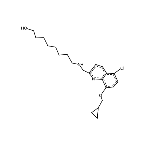 OCCCCCCCCNCc1ccc2c(Cl)ccc(OCC3CC3)c2n1